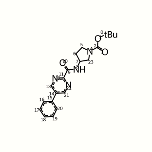 CC(C)(C)OC(=O)N1CCC(NC(=O)c2ncc(-c3ccccc3)cn2)C1